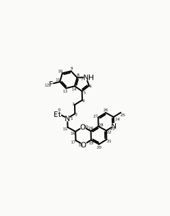 CCN(CCCc1c[nH]c2ccc(F)cc12)CC1COc2ccc3nc(C)ccc3c2O1